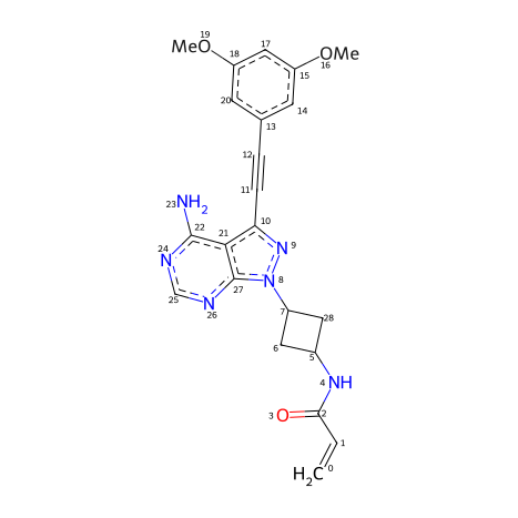 C=CC(=O)NC1CC(n2nc(C#Cc3cc(OC)cc(OC)c3)c3c(N)ncnc32)C1